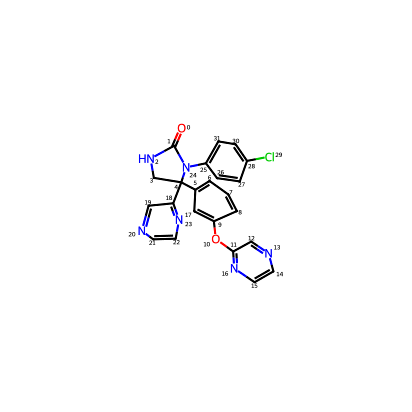 O=C1NCC(c2cccc(Oc3cnccn3)c2)(c2cnccn2)N1c1ccc(Cl)cc1